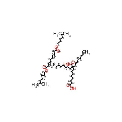 CC(C)CCCCCOC(=O)CCCCCCCCC(=O)OCCCCCC(C)C.CCCCCCCCC(CCCCCCCC)(CCCCCCCC(=O)O)C(=O)O